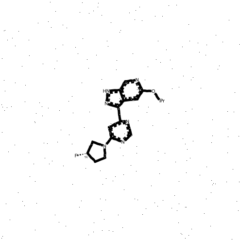 CC(C)Oc1cc2c(-c3cc(N4CC[C@H](F)C4)ncn3)n[nH]c2cn1